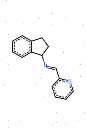 C(=N\C1CCc2ccccc21)/c1ccccn1